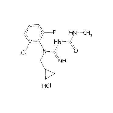 CNC(=O)NC(=N)N(CC1CC1)c1c(F)cccc1Cl.Cl